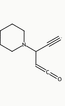 [C]#CC(C=C=O)N1CCCCC1